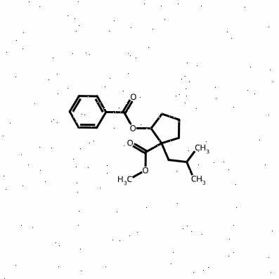 COC(=O)C1(CC(C)C)CCCC1OC(=O)c1ccccc1